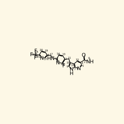 CNC(=O)c1cnc2[nH]cc(Cc3ccc(NCc4ccc(C(F)(F)F)nc4)nc3F)c2c1